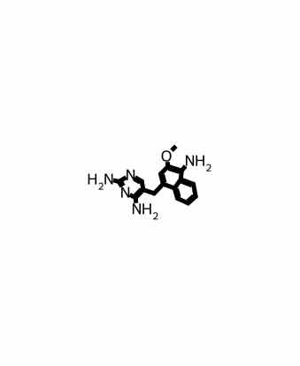 COc1cc(Cc2cnc(N)nc2N)c2ccccc2c1N